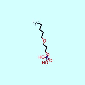 O=P(O)(O)OCCCOCCCCC(F)(F)F